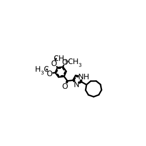 COc1cc(C(=O)c2c[nH]c(C3CCCCCCCC3)n2)cc(OC)c1OC